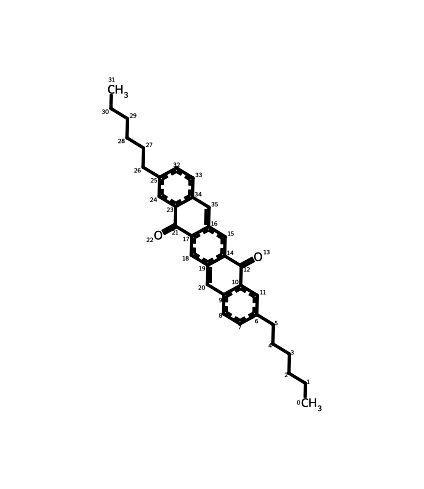 CCCCCCc1ccc2c(c1)C(=O)c1cc3c(cc1=C2)C(=O)c1cc(CCCCCC)ccc1C=3